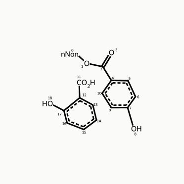 CCCCCCCCCOC(=O)c1ccc(O)cc1.O=C(O)c1ccccc1O